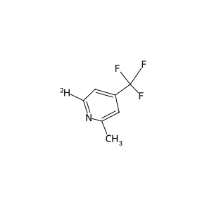 [2H]c1cc(C(F)(F)F)cc(C)n1